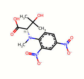 CN(c1ccc([N+](=O)[O-])cc1[N+](=O)[O-])[C@H](C(=O)O)C(C)(C)O